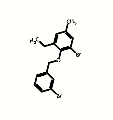 CCc1cc(C)cc(Br)c1OCc1cccc(Br)c1